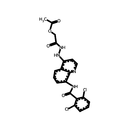 CC(=O)OCC(=O)NNc1ccnc2c(NC(=O)c3c(Cl)cccc3Cl)cccc12